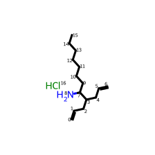 C=CCC(CC=C)C(N)CCCCCCC.Cl